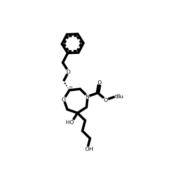 CC(C)(C)OC(=O)N1C[C@@H](COCc2ccccc2)OCC(O)(CCCO)C1